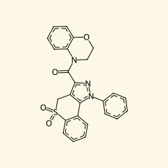 O=C(c1nn(-c2ccccc2)c2c1CS(=O)(=O)c1ccccc1-2)N1CCOc2ccccc21